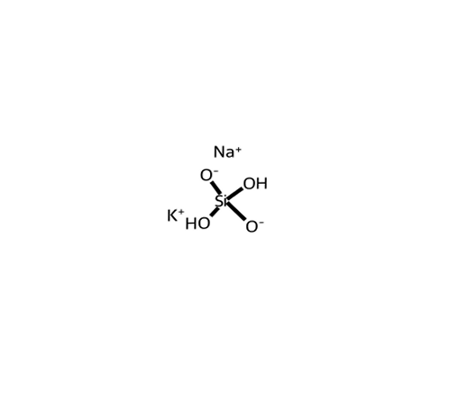 [K+].[Na+].[O-][Si]([O-])(O)O